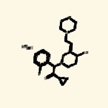 Cl.Cl.O=C(C1CC1)C(c1ccccc1F)N1CCC(S)C(=CCN2CCOCC2)C1